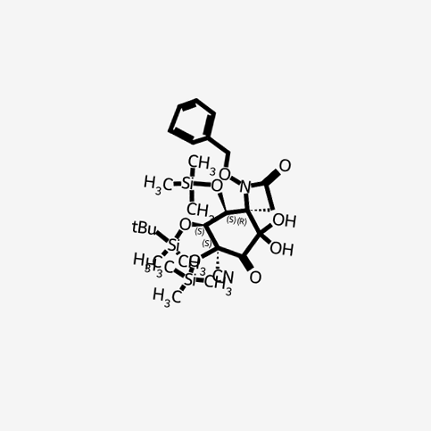 CC(C)(C)[Si](C)(C)O[C@H]1[C@@H](O[Si](C)(C)C)[C@]2(CC(=O)N2OCc2ccccc2)C(O)(O)C(=O)[C@@]1(C#N)O[Si](C)(C)C